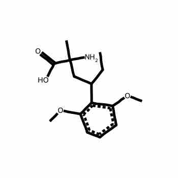 CCC(CC(C)(N)C(=O)O)c1c(OC)cccc1OC